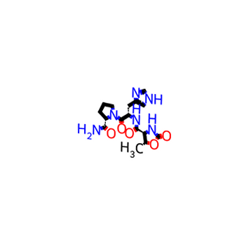 C[C@@H]1OC(=O)N[C@@H]1C(=O)N[C@@H](Cc1c[nH]cn1)C(=O)N1CCC[C@H]1C(N)=O